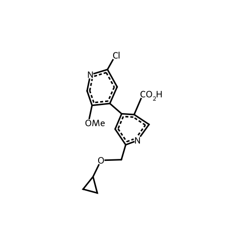 COc1cnc(Cl)cc1-c1cc(COC2CC2)ncc1C(=O)O